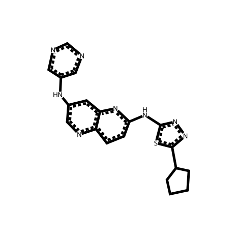 c1ncc(Nc2cnc3ccc(Nc4nnc(C5CCCC5)s4)nc3c2)cn1